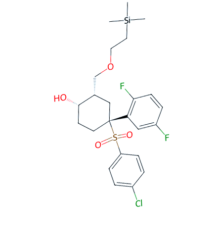 C[Si](C)(C)CCOC[C@@H]1C[C@](c2cc(F)ccc2F)(S(=O)(=O)c2ccc(Cl)cc2)CC[C@@H]1O